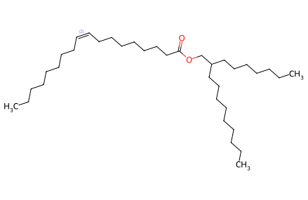 CCCCCCCC/C=C\CCCCCCCC(=O)OCC(CCCCCCC)CCCCCCCCC